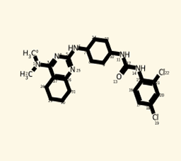 CN(C)c1nc(NC2CCC(NC(=O)Nc3ccc(Cl)cc3Cl)CC2)nc2c1CCCC2